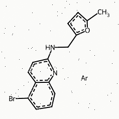 Cc1ccc(CNc2ccc3c(Br)cccc3n2)o1.[Ar]